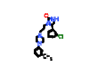 Cc1cccc(N2CCN(CCCN3C(=O)NCC3c3cccc(Cl)c3)CC2)c1